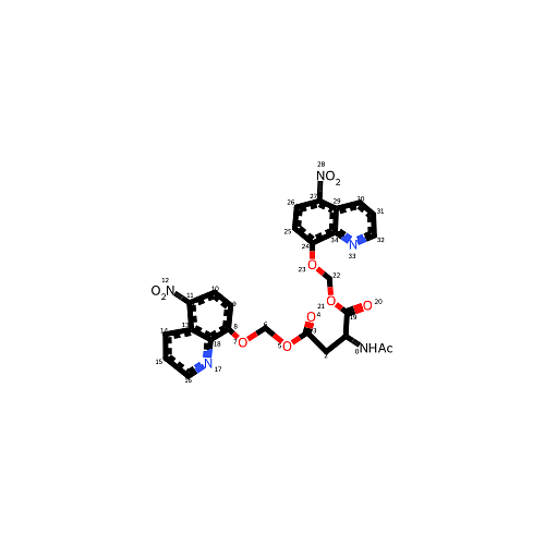 CC(=O)NC(CC(=O)OCOc1ccc([N+](=O)[O-])c2cccnc12)C(=O)OCOc1ccc([N+](=O)[O-])c2cccnc12